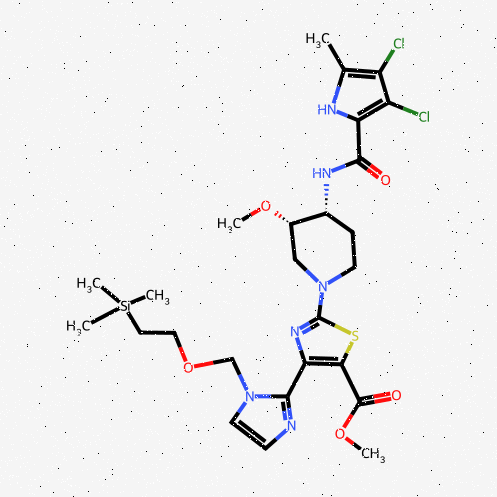 COC(=O)c1sc(N2CC[C@@H](NC(=O)c3[nH]c(C)c(Cl)c3Cl)[C@@H](OC)C2)nc1-c1nccn1COCC[Si](C)(C)C